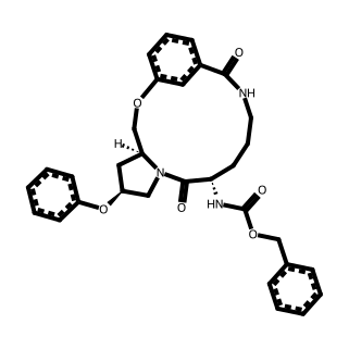 O=C(N[C@H]1CCCNC(=O)c2cccc(c2)OC[C@@H]2C[C@H](Oc3ccccc3)CN2C1=O)OCc1ccccc1